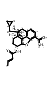 C/C=C/C(=O)N[C@@H]1CC[C@@]2(O)[C@H]3Cc4ccc(C(N)=O)c5c4[C@@]2(CCN3CC2CC2)C1O5